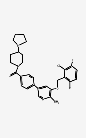 Nc1ncc(-c2ccc(C(=O)N3CCC(N4CCCC4)CC3)cc2)cc1OCc1c(F)ccc(F)c1Cl